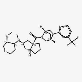 CO[C@@H]1COCC[C@@H]1N(C)[C@@H]1C[C@H]2CCC[C@@]2(C(=O)N2C[C@@H]3C[C@H]2CN3c2cc(C(F)(F)F)ccn2)C1